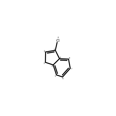 ClC1=[C]Cc2ccccc21